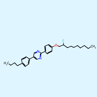 CCCCCCCCC(F)COc1ccc(-c2ncc(-c3ccc(CCCC)cc3)cn2)cc1